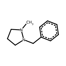 CN1CCCN1Cc1ccccc1